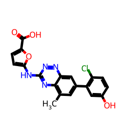 Cc1cc(-c2cc(O)ccc2Cl)cc2nnc(Nc3ccc(C(=O)O)o3)nc12